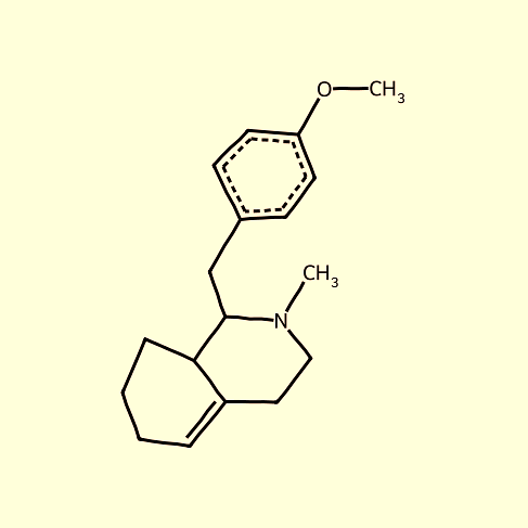 COc1ccc(CC2C3CCCC=C3CCN2C)cc1